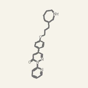 O=c1cc(-c2ccc(OCCCC3CCCCNC3)cc2)cnn1-c1ccccn1